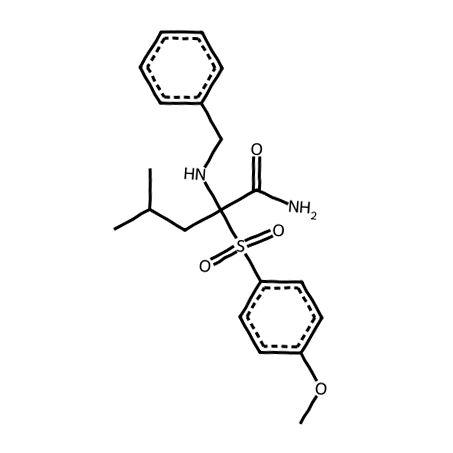 COc1ccc(S(=O)(=O)C(CC(C)C)(NCc2ccccc2)C(N)=O)cc1